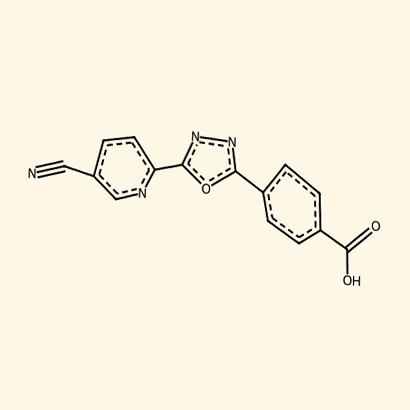 N#Cc1ccc(-c2nnc(-c3ccc(C(=O)O)cc3)o2)nc1